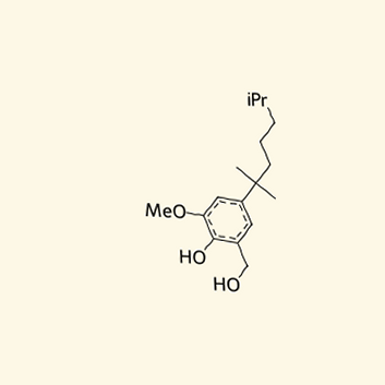 COc1cc(C(C)(C)CCCC(C)C)cc(CO)c1O